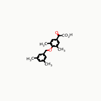 Cc1cc(C)cc(COc2c(C)cc(C(=O)C(=O)O)cc2C)c1